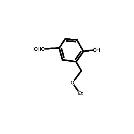 CCOCc1cc(C=O)ccc1O